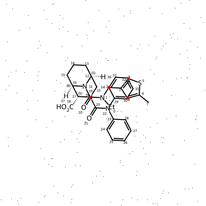 CCN(Cc1csc(C)c1)C(=O)N1[C@H]2CCC[C@@H]1[C@@H](C(=O)O)N(C(=O)N(c1ccccc1)c1ccccc1)C2